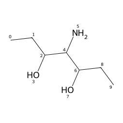 CCC(O)C(N)C(O)CC